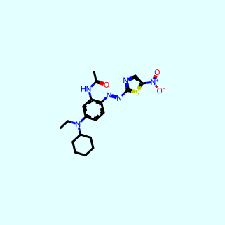 CCN(c1ccc(/N=N/c2ncc([N+](=O)[O-])s2)c(NC(C)=O)c1)C1CCCCC1